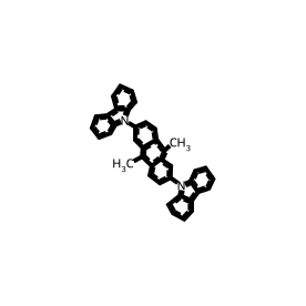 Cc1c2ccc(-n3c4ccccc4c4ccccc43)cc2c(C)c2ccc(-n3c4ccccc4c4ccccc43)cc12